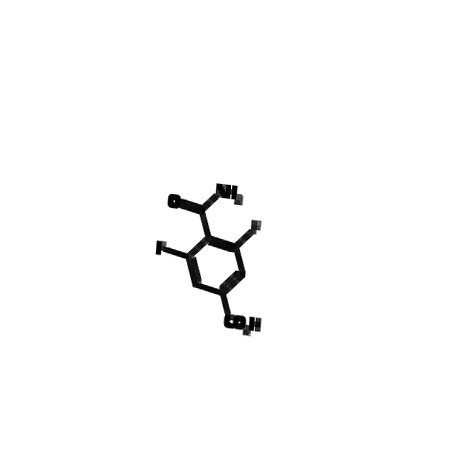 NC(=O)c1c(F)cc(C(=O)O)cc1F